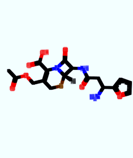 CC(=O)OCC1=C(C(=O)O)N2C(=O)C(NC(=O)CC(N)c3ccco3)[C@@H]2SC1